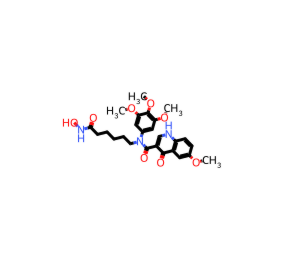 COc1ccc2[nH]cc(C(=O)N(CCCCCC(=O)NO)c3cc(OC)c(OC)c(OC)c3)c(=O)c2c1